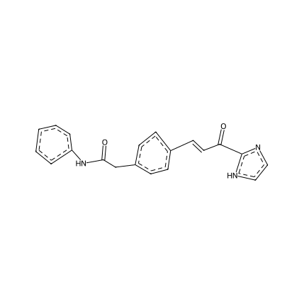 O=C(Cc1ccc(C=CC(=O)c2ncc[nH]2)cc1)Nc1ccccc1